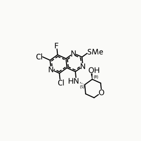 CSc1nc(N[C@H]2CCOC[C@@H]2O)c2c(Cl)nc(Cl)c(F)c2n1